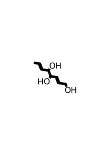 CC=CC(O)C(O)C=CCO